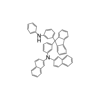 c1ccc(Nc2cccc(C3(c4cccc(N(c5ccc6ccccc6c5)c5ccc6ccccc6c5)c4)c4ccccc4-c4ccccc43)c2)cc1